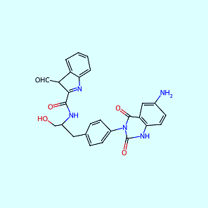 Nc1ccc2[nH]c(=O)n(-c3ccc(CC(CO)NC(=O)C4=Nc5ccccc5C4C=O)cc3)c(=O)c2c1